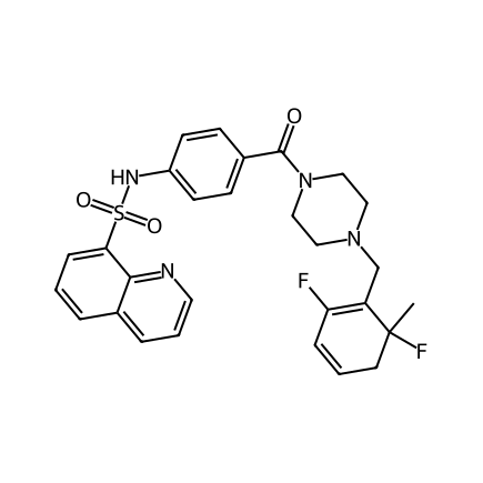 CC1(F)CC=CC(F)=C1CN1CCN(C(=O)c2ccc(NS(=O)(=O)c3cccc4cccnc34)cc2)CC1